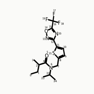 CCC(C)C(=O)N(Cc1ccc(-c2noc(C(F)(F)F)n2)s1)C(C)C